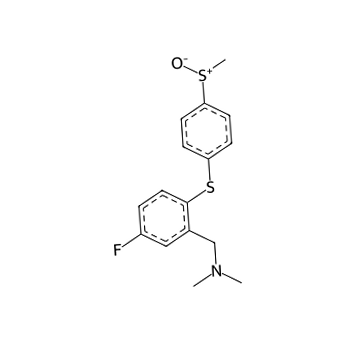 CN(C)Cc1cc(F)ccc1Sc1ccc([S+](C)[O-])cc1